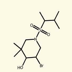 CC(C)C(C)S(=O)(=O)N1CC(Br)C(O)C(C)(C)C1